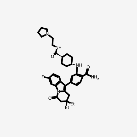 CCC1(CC)CC(=O)n2c(c(-c3ccc(C(N)=O)c(N[C@H]4CC[C@H](C(=O)NCCN5CCCC5)CC4)c3)c3ccc(F)cc32)C1